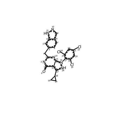 O=c1nc(Cc2ccc3cn[nH]c3c2)nc2n(-c3c(Cl)cc(Cl)cc3Cl)[nH]c(C3CC3)c1-2